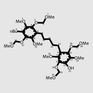 CCCCc1c(OC)c(OCOC)c(CCCCCc2c(OC)c(OCOC)c(O)c(OC)c2OCOC)c(OC)c1OCOC